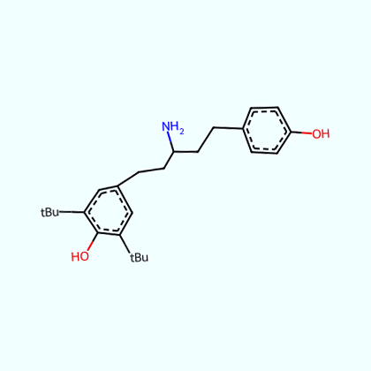 CC(C)(C)c1cc(CCC(N)CCc2ccc(O)cc2)cc(C(C)(C)C)c1O